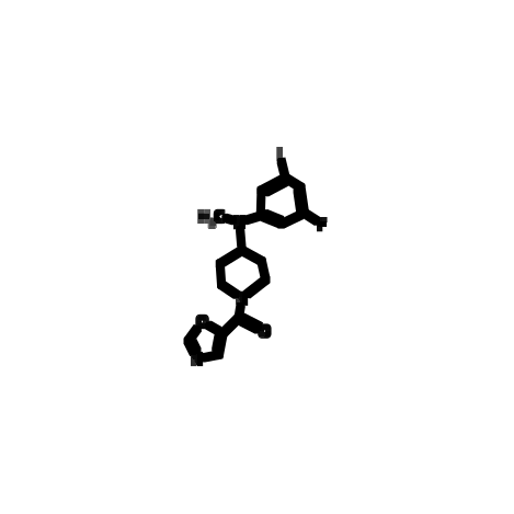 CN(c1cc(F)cc(I)c1)C1CCN(C(=O)c2cnco2)CC1